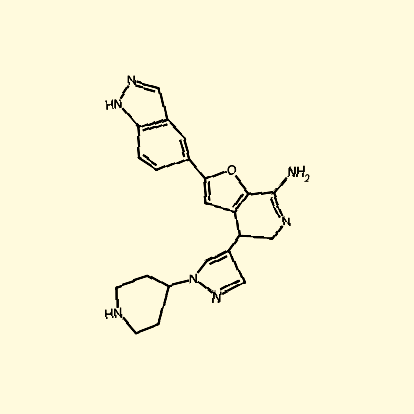 NC1=NCC(c2cnn(C3CCNCC3)c2)c2cc(-c3ccc4[nH]ncc4c3)oc21